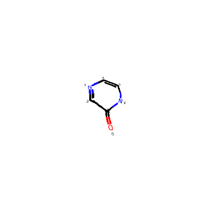 O=C1C=N[C]=C[N]1